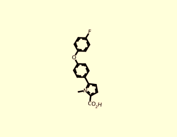 Cn1c(C(=O)O)ccc1-c1ccc(Oc2ccc(F)cc2)cc1